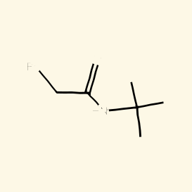 CC(C)(C)NC(=O)CBr